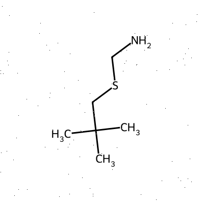 CC(C)(C)CSCN